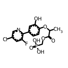 CC(Oc1ccc(-c2ncc(Cl)cc2F)cc1O)C(=O)OCP(=O)(O)O